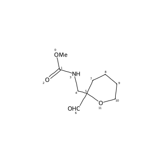 COC(=O)NCC1(C=O)CCCCO1